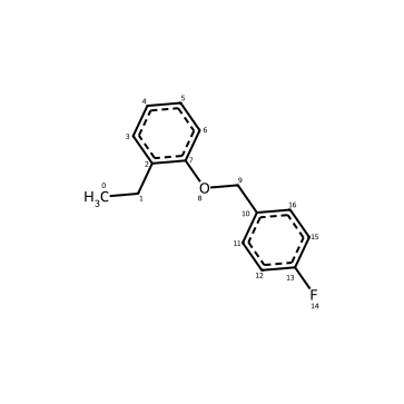 CCc1ccccc1OCc1ccc(F)cc1